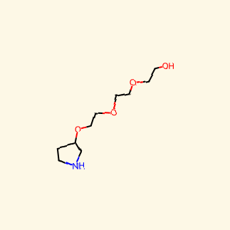 OCCOCCOCCOC1CCNC1